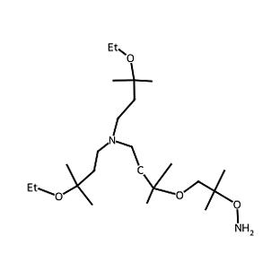 CCOC(C)(C)CCN(CCC(C)(C)OCC)CCC(C)(C)OCC(C)(C)ON